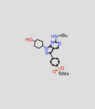 CCCCNc1ncc2c(-c3ccc(S(=O)(=O)NC)cc3)nn(C3CCC(O)CC3)c2n1